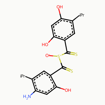 CC(C)c1cc(C(=S)[S+]([O-])C(=S)c2cc(C(C)C)c(O)cc2O)c(O)cc1N